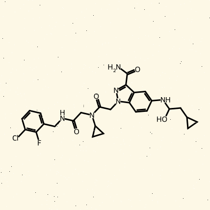 NC(=O)c1nn(CC(=O)N(CC(=O)NCc2cccc(Cl)c2F)C2CC2)c2ccc(NC(O)CC3CC3)cc12